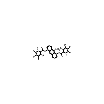 Cc1c2cccc(OC(=O)c3c(F)c(F)c(F)c(F)c3F)c2cc2cccc(OC(=O)c3c(F)c(F)c(F)c(F)c3F)c12